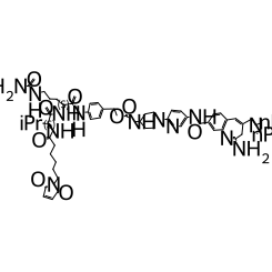 CCCN(CCC)CC1=Cc2ccc(C(=O)Nc3ccc(N4CCC(NC(=O)OCc5ccc(NC(=O)[C@H](CCCNC(N)=O)NC(=O)[C@@H](NC(=O)CCCCCN6C(=O)C=CC6=O)C(C)C)cc5)CC4)nc3)cc2N=C(N)C1